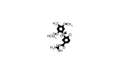 COc1cc(S(=O)(=O)c2cc(C(=O)NC(=N)N)ccc2Cl)c(OC)cc1C.Cl